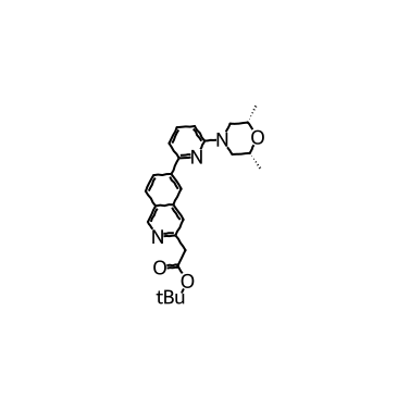 C[C@@H]1CN(c2cccc(-c3ccc4cnc(CC(=O)OC(C)(C)C)cc4c3)n2)C[C@H](C)O1